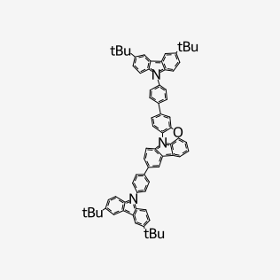 CC(C)(C)c1ccc2c(c1)c1cc(C(C)(C)C)ccc1n2-c1ccc(-c2ccc3c(c2)Oc2cccc4c5cc(-c6ccc(-n7c8ccc(C(C)(C)C)cc8c8cc(C(C)(C)C)ccc87)cc6)ccc5n-3c24)cc1